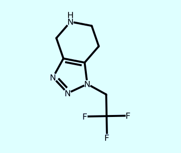 FC(F)(F)Cn1nnc2c1CCNC2